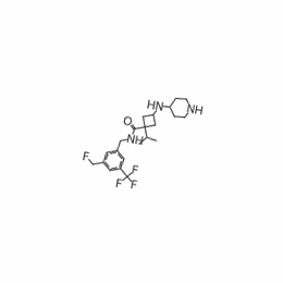 CC(C)C1(C(=O)NCc2cc(CF)cc(C(F)(F)F)c2)CC(NC2CCNCC2)C1